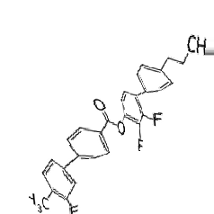 CCCc1ccc(-c2ccc(OC(=O)c3ccc(-c4ccc(C)c(F)c4)cc3)c(F)c2F)cc1